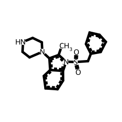 Cc1c(N2CCNCC2)c2ccccc2n1S(=O)(=O)Cc1ccccc1